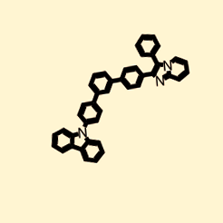 c1ccc(-c2c(-c3ccc(-c4cccc(-c5ccc(-n6c7ccccc7c7ccccc76)cc5)c4)cc3)nc3ccccn23)cc1